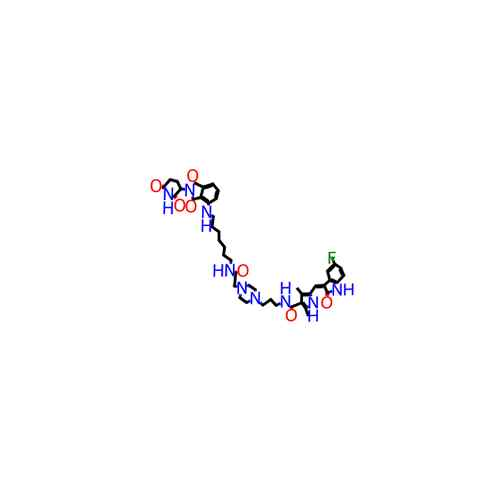 Cc1[nH]c(/C=C2\C(=O)Nc3ccc(F)cc32)c(C)c1C(=O)NCCCN1CCN(CC(=O)NCCCCCCCNc2cccc3c2C(=O)N(C2CCC(=O)NC2=O)C3=O)CC1